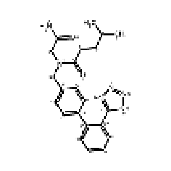 CC(C)CCC(=O)N(CC(N)=O)Cc1ccc(-c2ccccc2-c2nnn[nH]2)cc1